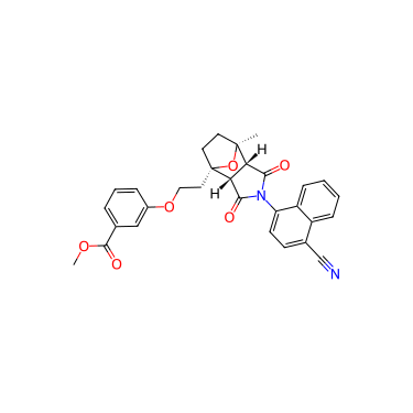 COC(=O)c1cccc(OCC[C@]23CC[C@](C)(O2)[C@@H]2C(=O)N(c4ccc(C#N)c5ccccc45)C(=O)[C@@H]23)c1